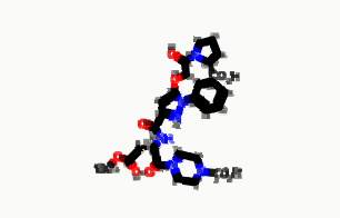 CCOC(=O)N1CCN(C(=O)[C@H](CC(=O)OC(C)(C)C)NC(=O)c2cc(OCC(=O)N3CCC[C@H]3C(=O)O)n(-c3ccccc3)n2)CC1